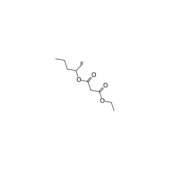 CCCC(F)OC(=O)CC(=O)OCC